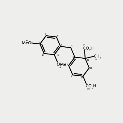 COc1ccc(CC2=CC=C(C(=O)O)CC2(C)C(=O)O)c(OC)c1